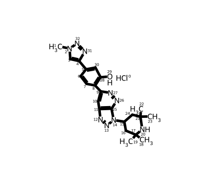 Cl.Cn1cc(-c2ccc(-c3cc4nnn(C5CC(C)(C)NC(C)(C)C5)c4nn3)c(O)c2)nn1